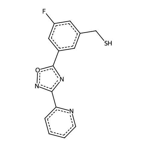 Fc1cc(CS)cc(-c2nc(-c3ccccn3)no2)c1